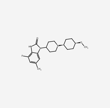 CO[C@H]1CC[C@@H](N2CCC(n3c(=O)[nH]c4c(F)cc(C)cc43)CC2)CC1